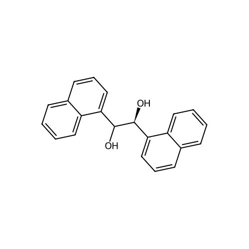 OC(c1cccc2ccccc12)[C@@H](O)c1cccc2ccccc12